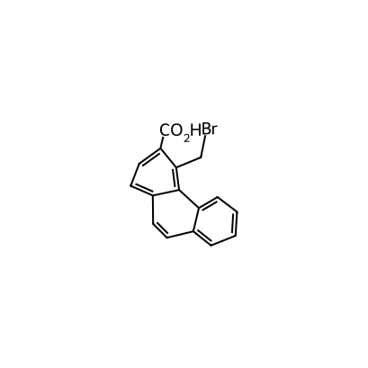 O=C(O)c1ccc2ccc3ccccc3c2c1CBr